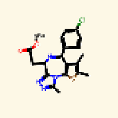 CCCCOC(=O)CC1N=C(c2ccc(Cl)cc2)c2c(sc(C)c2C)-n2c(C)nnc21